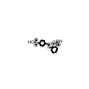 NC1(/N=N/c2ccc(S(=O)(=O)O)cc2)C=CC=CC1S(=O)(=O)O